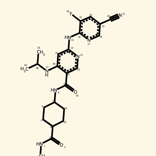 CNC(=O)C1CCC(NC(=O)c2cnc(Nc3ncc(C#N)cc3F)cc2NC(C)C)CC1